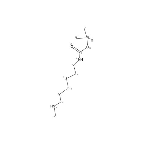 CNCCSSCCNC(=O)OC(C)(C)C